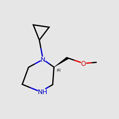 COC[C@H]1CNCCN1C1CC1